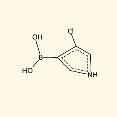 OB(O)c1c[nH]cc1Cl